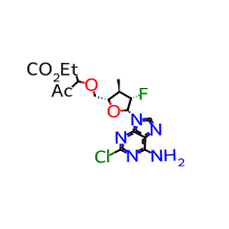 CCOC(=O)C(OC[C@H]1O[C@@H](n2cnc3c(N)nc(Cl)nc32)[C@@H](F)[C@@H]1C)C(C)=O